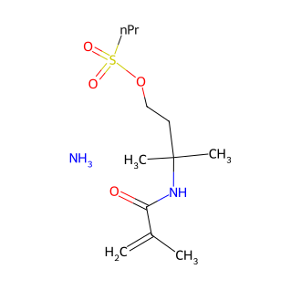 C=C(C)C(=O)NC(C)(C)CCOS(=O)(=O)CCC.N